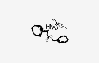 O=C(OCc1ccccc1)[C@@H](NOC(=O)C(F)(F)F)c1ccccc1